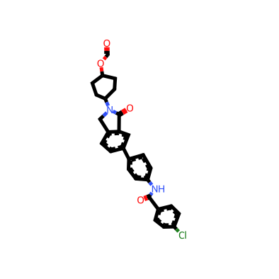 O=COC1CCC(N2Cc3ccc(-c4ccc(NC(=O)c5ccc(Cl)cc5)cc4)cc3C2=O)CC1